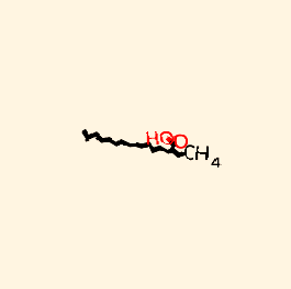 C.CC=C(CCCCCCCCCCCCCC)C(=O)O